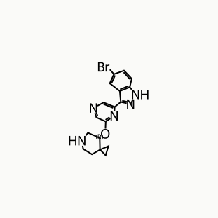 Brc1ccc2[nH]nc(-c3cncc(O[C@H]4CNCCC45CC5)n3)c2c1